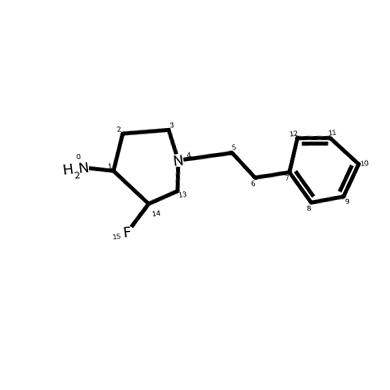 NC1CCN(CCc2ccccc2)CC1F